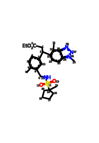 CCOC(=O)CC(c1ccc(C)c(CNS(=O)(=O)C2(C)CCCC2)c1)c1ccc2c(nnn2C)c1C